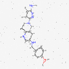 CNc1nnc(N2CCc3ncc(NCc4ccc(OC)cc4)cc3C2)c(C)c1C